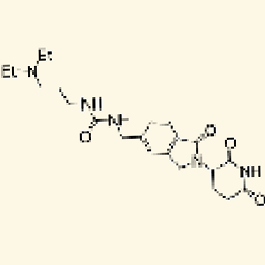 CCN(CC)CCCNC(=O)NCc1ccc2c(c1)CN(C1CCC(=O)NC1=O)C2=O